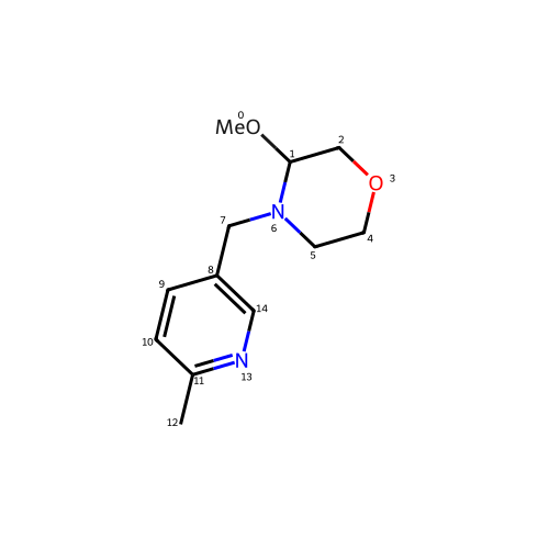 COC1COCCN1Cc1ccc(C)nc1